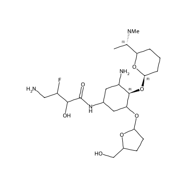 CN[C@@H](C)C1CCC[C@@H](O[C@@H]2C(N)CC(NC(=O)C(O)C(F)CN)CC2OC2CCC(CO)O2)O1